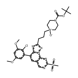 COc1cc(OC)c(Cl)c(-c2cc3cnc(S(C)(=O)=O)nc3n3nc(CCC[N+]4([O-])CCN(C(=O)OC(C)(C)C)CC4)nc23)c1